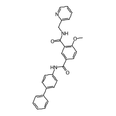 COc1ccc(C(=O)Nc2ccc(-c3ccccc3)cc2)cc1C(=O)NCc1ccccn1